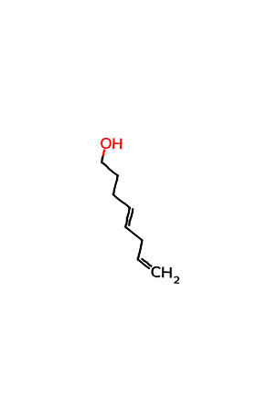 C=CC/C=C/CCCO